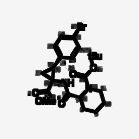 COC(=O)[C@]1(NC(=O)[C@@H]2CCCCN2C(=O)OC(C)(C)C)C[C@H]1c1ccc(Br)cc1